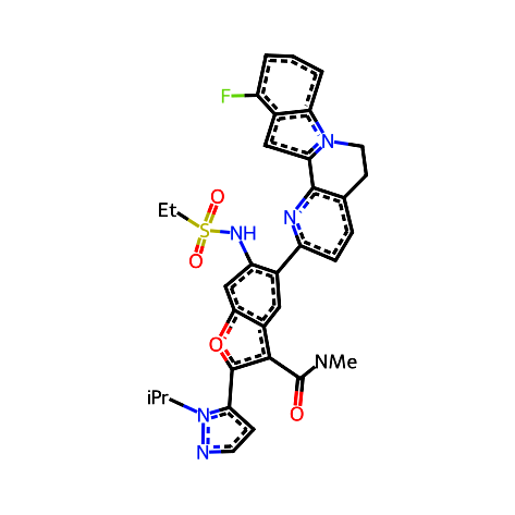 CCS(=O)(=O)Nc1cc2oc(-c3ccnn3C(C)C)c(C(=O)NC)c2cc1-c1ccc2c(n1)-c1cc3c(F)cccc3n1CC2